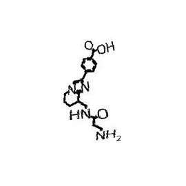 NCCC(=O)NCC1CCCn2cc(-c3ccc(C(=O)O)cc3)nc21